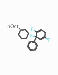 CCCCCCCC[C@H]1CC[C@H](c2ccccc2C2(F)C=C(F)CC=C2F)CC1